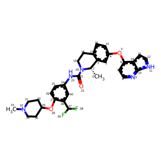 C[C@H]1c2cc(Oc3ccnc4[nH]ccc34)ccc2CCN1C(=O)Nc1ccc(OC2CCN(C)CC2)c(C(F)F)c1